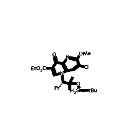 CCOC(=O)c1cn([C@@H](C(C)C)C(C)(C)O[SiH2]C(C)(C)C)c2cc(Cl)c(OC)nc2c1=O